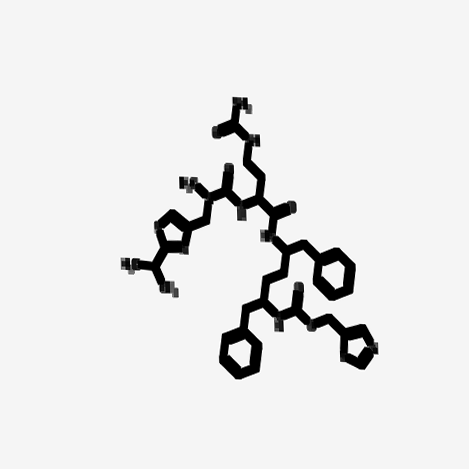 CC(C)c1nc(CN(C)C(=O)NC(CCNC(N)=O)C(=O)NC(CCC(Cc2ccccc2)NC(=O)OCc2cncs2)Cc2ccccc2)cs1